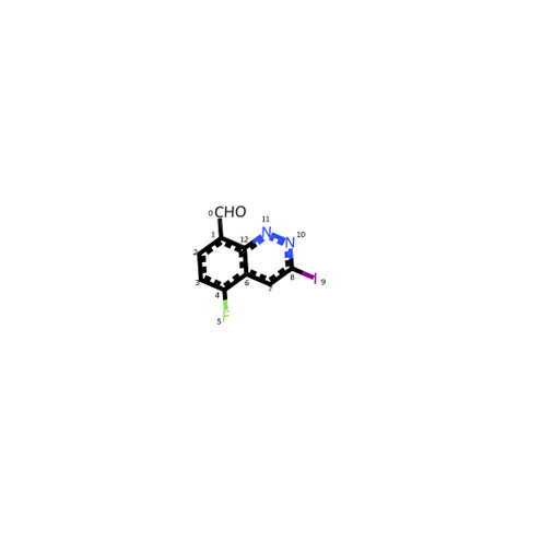 O=Cc1ccc(F)c2cc(I)nnc12